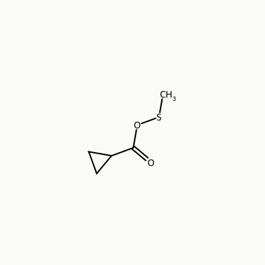 CSOC(=O)C1CC1